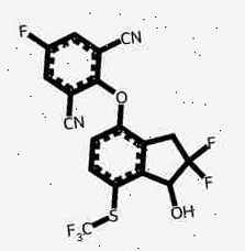 N#Cc1cc(F)cc(C#N)c1Oc1ccc(SC(F)(F)F)c2c1CC(F)(F)C2O